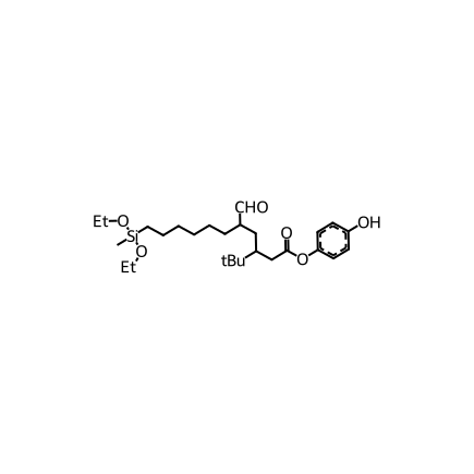 CCO[Si](C)(CCCCCCC(C=O)CC(CC(=O)Oc1ccc(O)cc1)C(C)(C)C)OCC